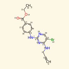 C#CCNc1nc(Nc2ccc(C(=O)OCC)cc2)ncc1Br